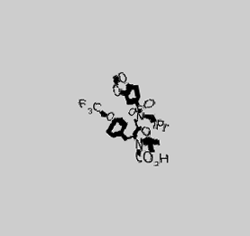 CC(C)CN(C[C@H]1OC(C)(C)N(C(=O)O)[C@H]1Cc1ccc(OCC(F)(F)F)cc1)S(=O)(=O)c1ccc2c(c1)OCO2